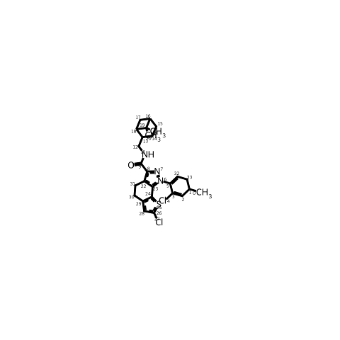 CC1C=C(Cl)C(n2nc(C(=O)NCC3CCC4CC3C4(C)C)c3c2-c2sc(Cl)cc2CC3)=CC1